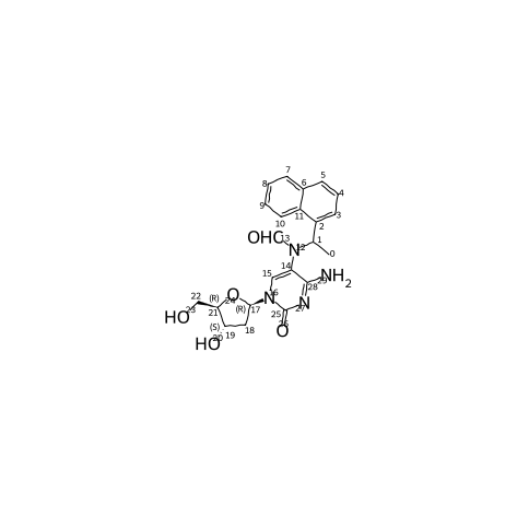 CC(c1cccc2ccccc12)N(C=O)c1cn([C@H]2C[C@H](O)[C@@H](CO)O2)c(=O)nc1N